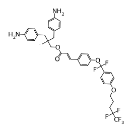 [CH2]C(COC(=O)/C=C/c1ccc(OC(F)(F)c2ccc(OCCCC(F)(F)C(F)(F)F)cc2)cc1)(Cc1ccc(N)cc1)Cc1ccc(N)cc1